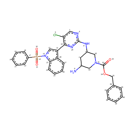 NC1CC(Nc2ncc(Cl)c(-c3cn(S(=O)(=O)c4ccccc4)c4ccccc34)n2)CN(C(=O)OCc2ccccc2)C1